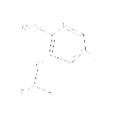 COc1ncc(C)cc1OC(F)F